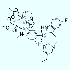 CCC1=C[C@@H]2CN(CCc3c([nH]c4ccc(F)cc34)[C@@](C)(c3cc4c(cc3C)N(C)C3C(O)(C(=O)OC)[C@H](OC(C)=O)[C@]5(CC)C=CCN6CC[C@]43[C@@H]65)C2)C1